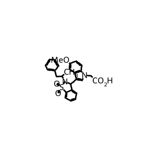 COc1ccc2c(c1)c(C1c3ccccc3S(=O)(=O)N1C(C)Cc1ccccc1)cn2CC(=O)O